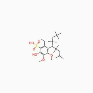 CCc1c(C(C(C)(C)CC(C)C)C(C)(C)CC(C)(C)C)c(OC)c(OC)c(O)c1S(=O)(=O)O